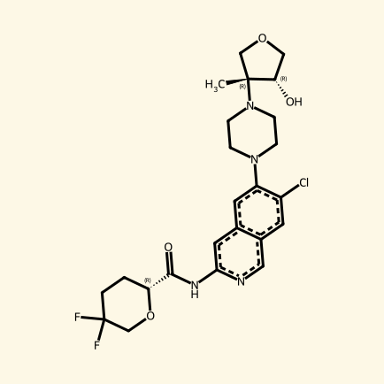 C[C@@]1(N2CCN(c3cc4cc(NC(=O)[C@H]5CCC(F)(F)CO5)ncc4cc3Cl)CC2)COC[C@@H]1O